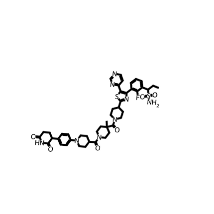 CCC(c1cccc(-c2nc(C3CCN(C(=O)C4(C)CCN(C(=O)C5CCN(c6ccc(C7CCC(=O)NC7=O)cc6)CC5)CC4)CC3)sc2-c2ccncn2)c1F)S(N)(=O)=O